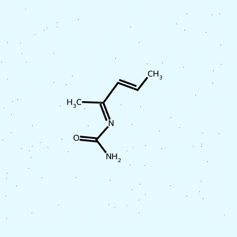 CC=CC(C)=NC(N)=O